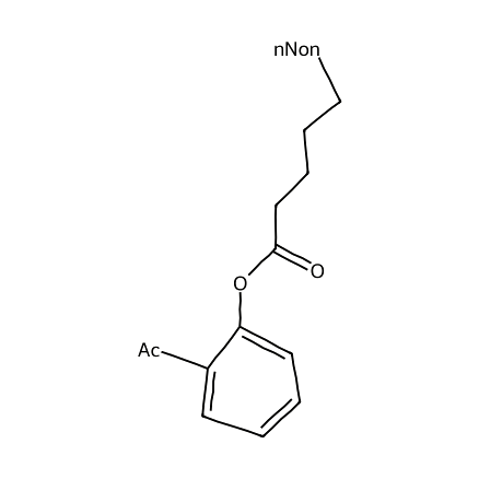 CCCCCCCCCCCCCC(=O)Oc1ccccc1C(C)=O